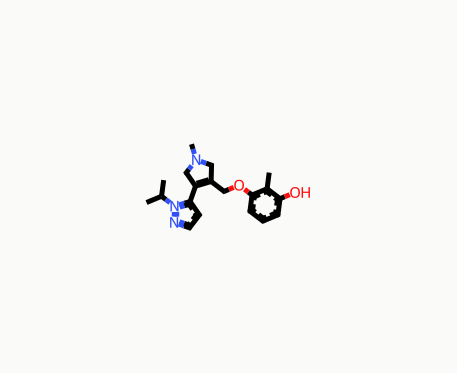 Cc1c(O)cccc1OCC1=C(c2ccnn2C(C)C)CN(C)C1